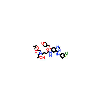 CC(O)CN(CC=CC(=O)Nc1cc2c(Nc3ccc(F)c(Cl)c3)ncnc2cc1OCC1CCOCC1)CC(=O)OC(C)(C)C